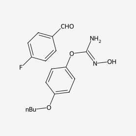 CCCCOc1ccc(OC(N)=NO)cc1.O=Cc1ccc(F)cc1